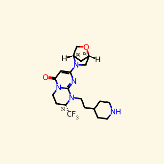 O=c1cc(N2C[C@@H]3C[C@H]2CO3)nc2n1CC[C@@H](C(F)(F)F)N2CCC1CCNCC1